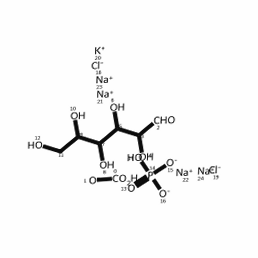 O=C([O-])O.O=CC(O)C(O)C(O)C(O)CO.O=P([O-])([O-])O.[Cl-].[Cl-].[K+].[Na+].[Na+].[Na+].[Na+]